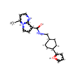 Cc1ccnc2c(C(=O)NCC3CCC(c4ccco4)CC3)ccn12